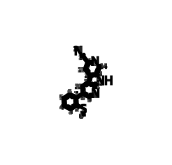 CSc1ccccc1-c1cnc2[nH]c3cnc(C#N)cc3c2c1